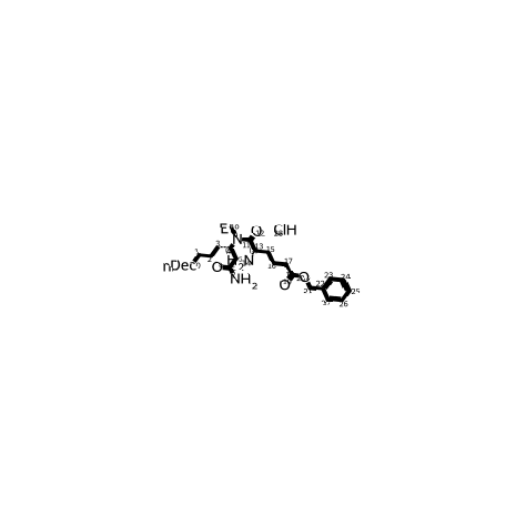 CCCCCCCCCCCCC[C@@H](CC(N)=O)N(CC)C(=O)[C@@H](N)CCCC(=O)OCc1ccccc1.Cl